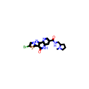 CN1CCCC1CNC(=O)c1cnc2c(c1)[nH]c(=O)c1c2nn2cc(Br)sc12